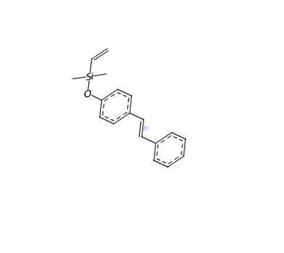 C=C[Si](C)(C)Oc1ccc(/C=C/c2ccccc2)cc1